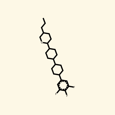 CCCC1CCC(C2CCC(C3CCC(c4cc(F)c(F)c(F)c4)CC3)CC2)OC1